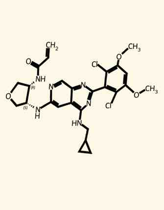 C=CC(=O)N[C@H]1COC[C@H]1Nc1cc2c(NCC3CC3)nc(-c3c(Cl)c(OC)cc(OC)c3Cl)nc2cn1